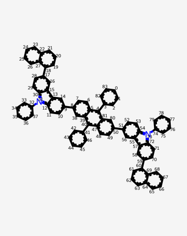 c1ccc(-c2c3ccc(-c4ccc5c(c4)c4cc(-c6cccc7ccccc67)ccc4n5-c4ccccc4)cc3c(-c3ccccc3)c3ccc(-c4ccc5c(c4)c4cc(-c6cccc7ccccc67)ccc4n5-c4ccccc4)cc23)cc1